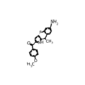 COc1ccc(C(=O)c2ccc(C(C)c3ccc(N)cc3F)[nH]2)cc1